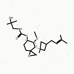 CO[C@H]1[C@H](C2(C)CC(CC=C(C)C)C2)C2(CC[C@H]1OC(=O)NCC(C)(C)O)CO2